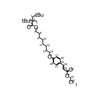 CC(C)(C)CC(C)(C(=O)OCCCCCCCCOc1ccc(/C=C/C(=O)OCC(F)(F)F)cc1)C(C)(C)C